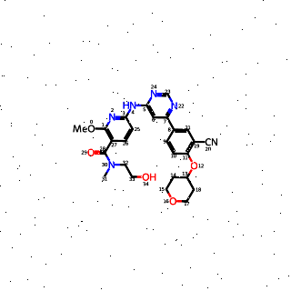 COc1nc(Nc2cc(-c3ccc(OC4CCOCC4)c(C#N)c3)ncn2)ccc1C(=O)N(C)CCO